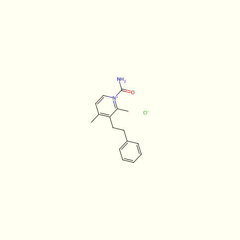 Cc1cc[n+](C(N)=O)c(C)c1CCc1ccccc1.[Cl-]